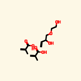 C=C(C)C(=O)O.C=C(C)C(=O)O.C=CC(O)COCCO